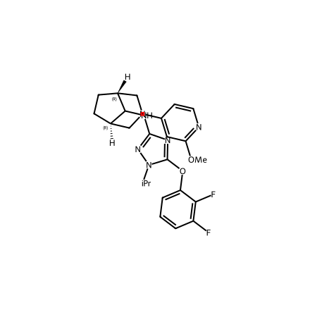 COc1cc(N2C[C@H]3CC[C@H](C2)C3Nc2nc(Oc3cccc(F)c3F)n(C(C)C)n2)ccn1